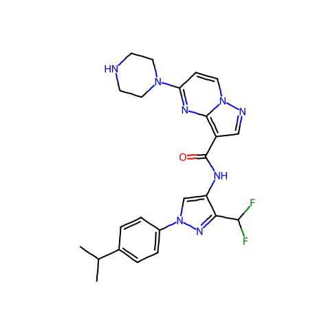 CC(C)c1ccc(-n2cc(NC(=O)c3cnn4ccc(N5CCNCC5)nc34)c(C(F)F)n2)cc1